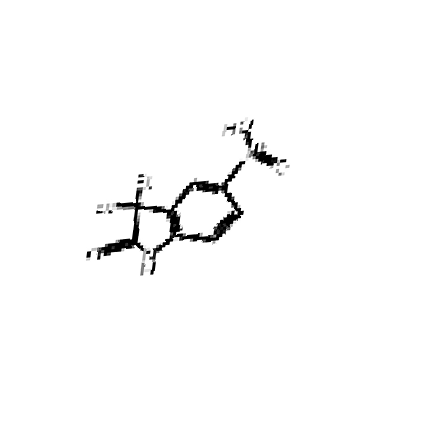 CCC1(CC)C(=O)Nc2ccc([N+](=O)O)cc21